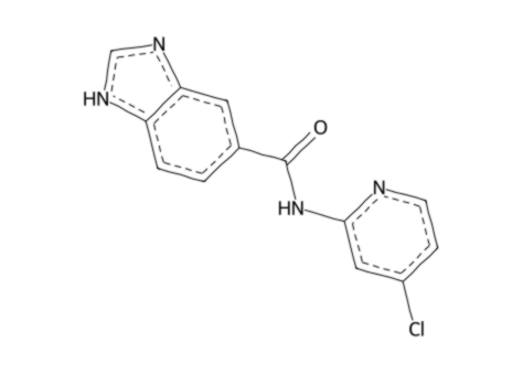 O=C(Nc1cc(Cl)ccn1)c1ccc2[nH]cnc2c1